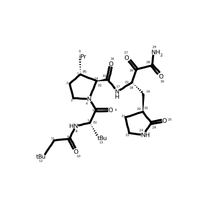 CC(C)[C@H]1CCN(C(=O)[C@@H](NC(=O)CC(C)(C)C)C(C)(C)C)[C@@H]1C(=O)N[C@@H](C[C@@H]1CCNC1=O)C(=O)C(N)=O